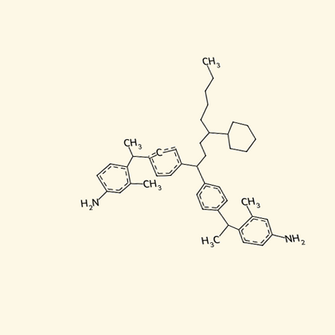 CCCCCC(CCC(c1ccc(C(C)c2ccc(N)cc2C)cc1)c1ccc(C(C)c2ccc(N)cc2C)cc1)C1CCCCC1